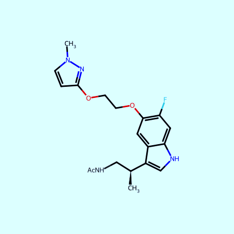 CC(=O)NC[C@H](C)c1c[nH]c2cc(F)c(OCCOc3ccn(C)n3)cc12